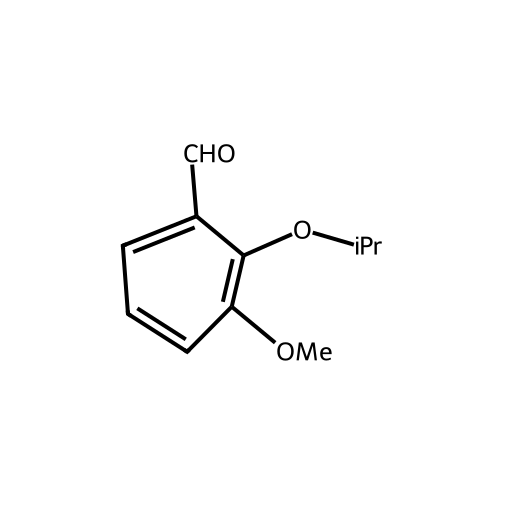 COc1cccc(C=O)c1OC(C)C